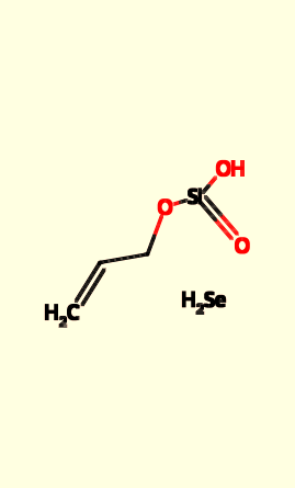 C=CCO[Si](=O)O.[SeH2]